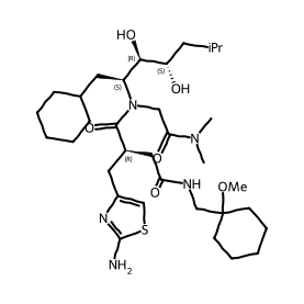 COC1(CNC(=O)C[C@@H](Cc2csc(N)n2)C(=O)N(CC(=O)N(C)C)[C@@H](CC2CCCCC2)[C@@H](O)[C@@H](O)CC(C)C)CCCCC1